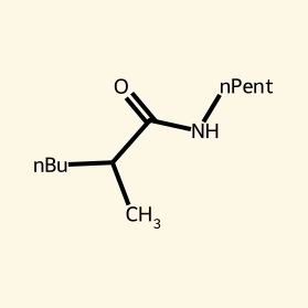 CCCCCNC(=O)C(C)CCCC